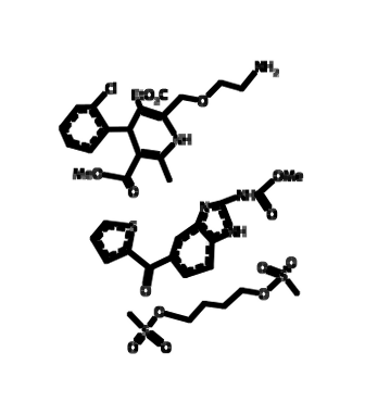 CCOC(=O)C1=C(COCCN)NC(C)=C(C(=O)OC)C1c1ccccc1Cl.COC(=O)Nc1nc2cc(C(=O)c3cccs3)ccc2[nH]1.CS(=O)(=O)OCCCCOS(C)(=O)=O